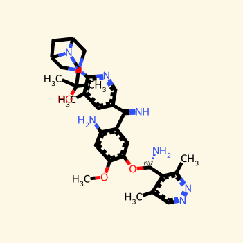 COc1cc(N)c(C(=N)c2cnc(N3CC4CC(C3)N4CC(C)(C)O)c(C)c2)cc1O[C@H](N)c1c(C)cnnc1C